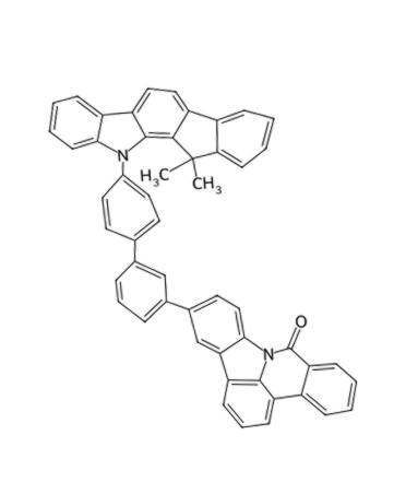 CC1(C)c2ccccc2-c2ccc3c4ccccc4n(-c4ccc(-c5cccc(-c6ccc7c(c6)c6cccc8c9ccccc9c(=O)n7c86)c5)cc4)c3c21